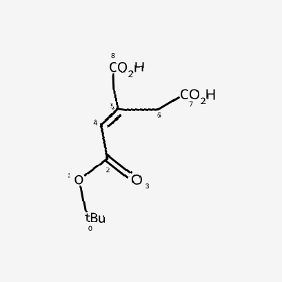 CC(C)(C)OC(=O)C=C(CC(=O)O)C(=O)O